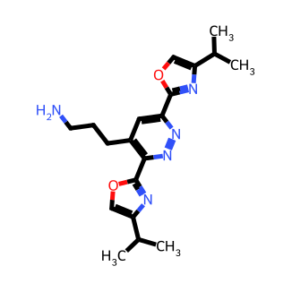 CC(C)c1coc(-c2cc(CCCN)c(-c3nc(C(C)C)co3)nn2)n1